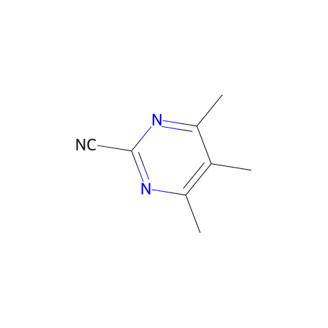 Cc1nc(C#N)nc(C)c1C